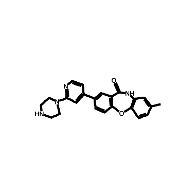 Cc1ccc2c(c1)NC(=O)c1cc(-c3ccnc(N4CCNCC4)c3)ccc1O2